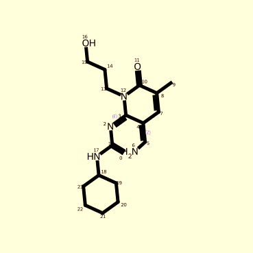 C=C(/N=C1\C(=C/N)C=C(C)C(=O)N1CCCO)NC1CCCCC1